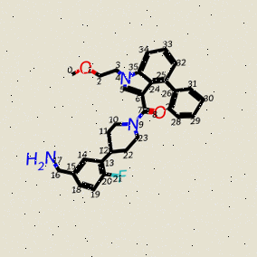 COCCn1cc(C(=O)N2CCC(c3cc(CN)ccc3F)CC2)c2c(-c3ccccc3)cccc21